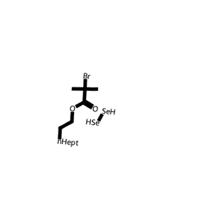 CCCCCCCCCOC(=O)C(C)(C)Br.[SeH][SeH]